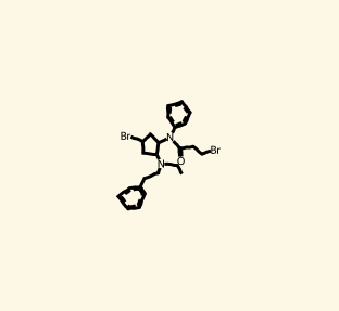 CCN(CCc1ccccc1)C1CC(Br)CC1N(C(=O)CCBr)c1ccccc1